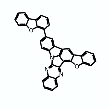 c1ccc2nc3c(nc2c1)c1c2oc4ccccc4c2cc2c4cc(-c5cccc6c5oc5ccccc56)ccc4n3c21